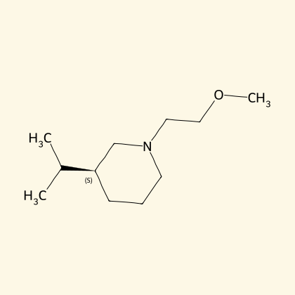 COCCN1CCC[C@@H](C(C)C)C1